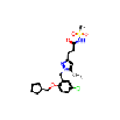 Cc1cc(CCC(=O)NS(=O)(=O)C(C)C)nn1Cc1cc(Cl)ccc1OCC1CCCC1